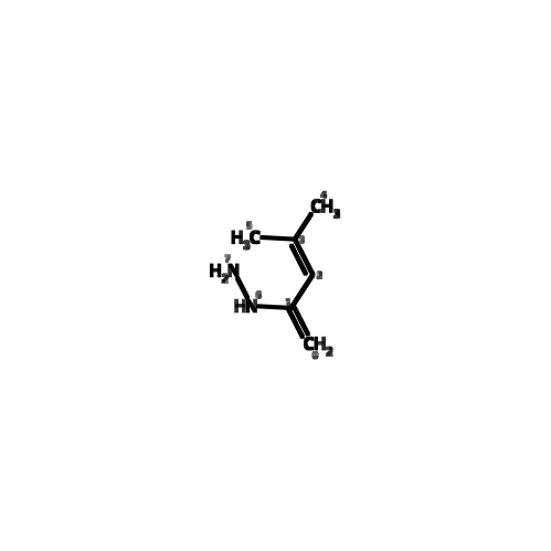 C=C(C=C(C)C)NN